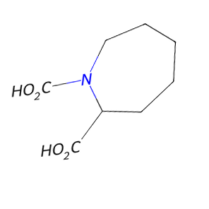 O=C(O)C1CCCCCN1C(=O)O